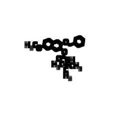 COc1ccc2cc(OCc3ccccc3)c(OC(=O)NC(C)(C)C)cc2c1